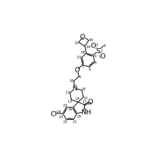 CS(=O)(=O)c1ccc(OCCN2CCC3(CC2)C(=O)Nc2ccc(Cl)cc23)cc1C1COC1